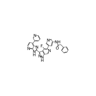 O=C(Cc1ccccc1)Nc1cncc(-c2ncc3[nH]nc(-c4nc5c(-c6cccnc6)ccnc5[nH]4)c3c2F)c1